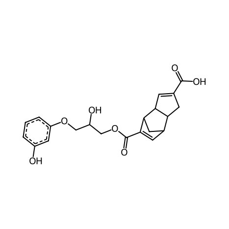 O=C(O)C1=CC2C3CC(C=C3C(=O)OCC(O)COc3cccc(O)c3)C2C1